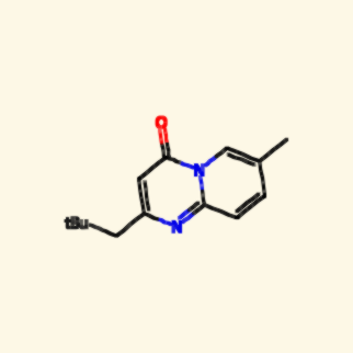 Cc1ccc2nc(CC(C)(C)C)cc(=O)n2c1